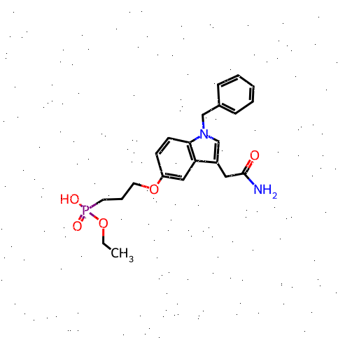 CCOP(=O)(O)CCCOc1ccc2c(c1)c(CC(N)=O)cn2Cc1ccccc1